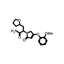 COc1ccccc1OC1=CC(=O)N(C(CC2CCCO2)C(N)=O)C1